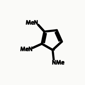 CN[C]1C=CC(NC)=C1NC